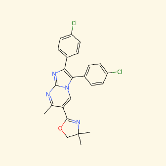 Cc1nc2nc(-c3ccc(Cl)cc3)c(-c3ccc(Cl)cc3)n2cc1C1=NC(C)(C)CO1